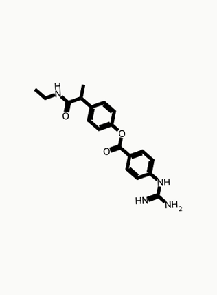 CCNC(=O)C(C)c1ccc(OC(=O)c2ccc(NC(=N)N)cc2)cc1